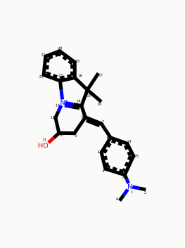 CN(C)c1ccc(C=C2CC(O)C[N+]3=C2C(C)(C)c2ccccc23)cc1